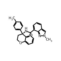 Cc1ccc([C@@]2(NC(=O)c3cccc4cn(C)nc34)CCOc3cccnc32)cc1